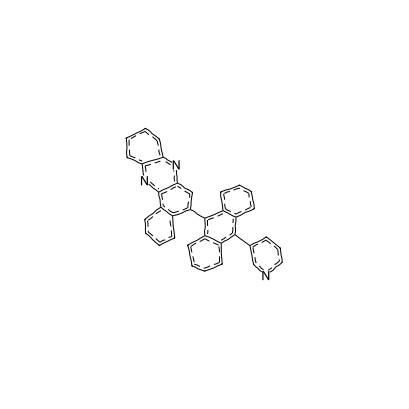 c1cncc(-c2c3ccccc3c(-c3cc4nc5ccccc5nc4c4ccccc34)c3ccccc23)c1